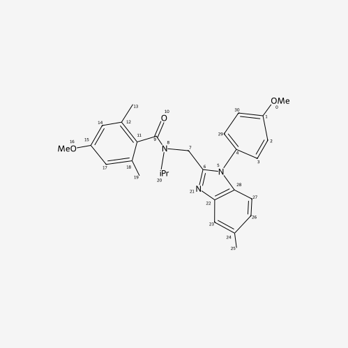 COc1ccc(-n2c(CN(C(=O)c3c(C)cc(OC)cc3C)C(C)C)nc3cc(C)ccc32)cc1